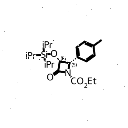 CCOC(=O)N1C(=O)[C@H](O[Si](C(C)C)(C(C)C)C(C)C)[C@@H]1c1ccc(C)cc1